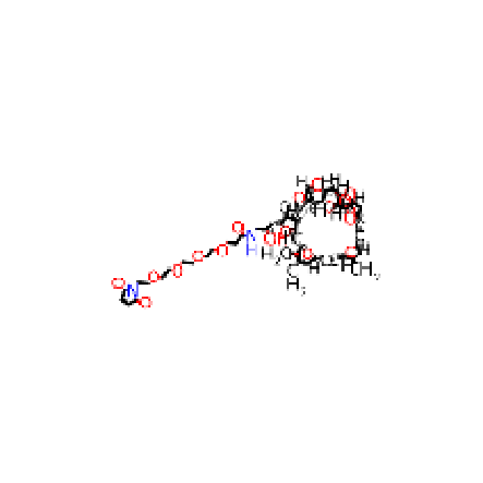 C=C1C[C@@H]2CC[C@@]34C[C@H]5O[C@H]6[C@@H](O3)[C@H]3O[C@H](CC[C@@H]3O[C@H]6[C@H]5O4)CC(=O)C[C@@H]3[C@@H](OC)[C@@H](C[C@H](O)CNC(=O)CCOCCOCCOCCOCCN4C(=O)C=CC4=O)O[C@H]3C[C@H]3O[C@@H](CC[C@@H]1O2)C[C@@H](C)C3=C